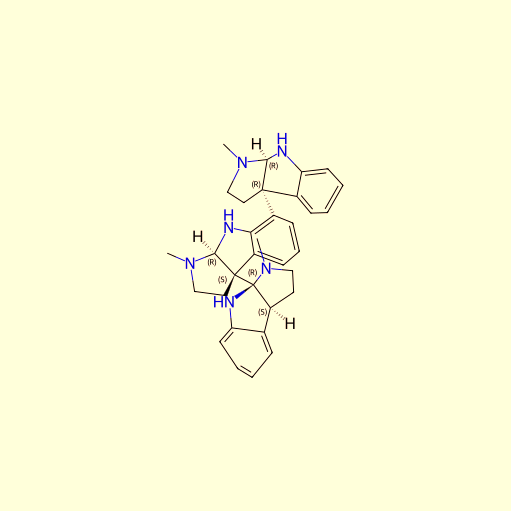 CN1CC[C@]2(c3cccc4c3N[C@@H]3N(C)CC[C@]43[C@@]34Nc5ccccc5[C@@H]3CCN4C)c3ccccc3N[C@H]12